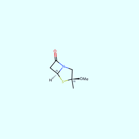 CO[C@]1(C)CN2C(=O)C[C@@H]2S1